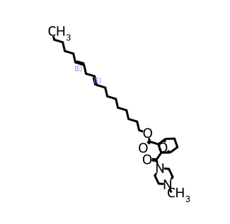 CCCCC/C=C/C/C=C/CCCCCCCCOC(=O)C1C2CCC(O2)C1C(=O)N1CCN(C)CC1